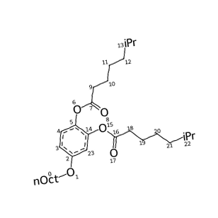 CCCCCCCCOc1ccc(OC(=O)CCCCC(C)C)c(OC(=O)CCCCC(C)C)c1